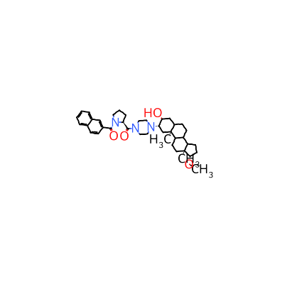 CO[C@H]1CCC2C3CCC4C[C@H](O)[C@@H](N5CCN(C(=O)[C@@H]6CCCN6C(=O)c6ccc7ccccc7c6)CC5)C[C@]4(C)C3CC[C@@]21C